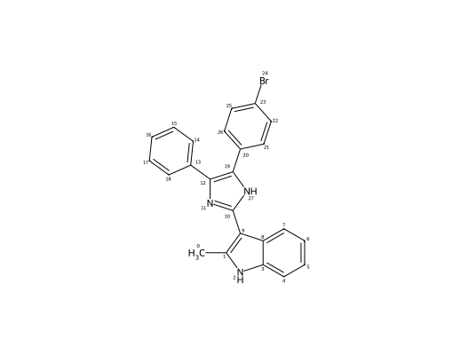 Cc1[nH]c2ccccc2c1-c1nc(-c2ccccc2)c(-c2ccc(Br)cc2)[nH]1